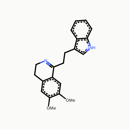 COc1cc2c(cc1OC)C(CCc1c[nH]c3ccccc13)=NCC2